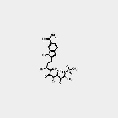 CC[C@@H](CCc1cc2ccc(C(=N)N)cc2n1CC)C(=N)C(=O)[C@H](CC)C(=N)C(=O)[C@H](C)NS(C)(=O)=O